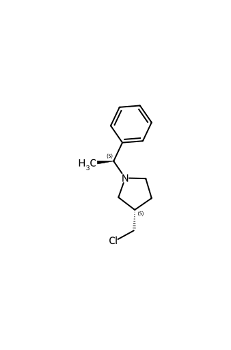 C[C@@H](c1ccccc1)N1CC[C@H](CCl)C1